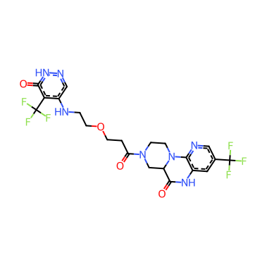 O=C1Nc2cc(C(F)(F)F)cnc2N2CCN(C(=O)CCOCCNc3cn[nH]c(=O)c3C(F)(F)F)CC12